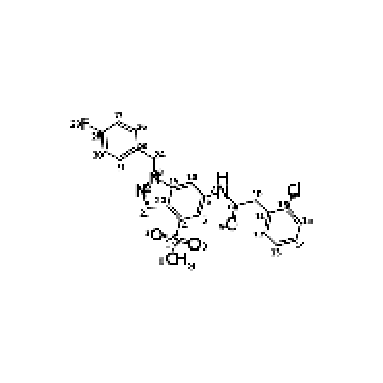 CS(=O)(=O)c1cc(NC(=O)Cc2ccccc2Cl)cc2c1cnn2Cc1ccc(F)cc1